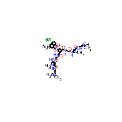 CN(C)CCCNC(=O)c1cc(NC(=O)CCNC(=O)c2cc(C(=O)NCCC(=O)Nc3cc(C(=O)NCCCN(C)C)n(C)c3)cc(N3C(=O)c4cccc5cc([N+](=O)[O-])cc(c45)C3=O)c2)cn1C.Cl.Cl